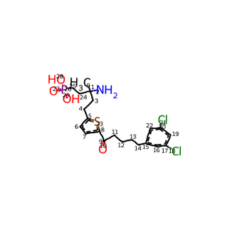 CC(N)(CCc1ccc(C(=O)CCCCc2cc(Cl)cc(Cl)c2)s1)CCP(=O)(O)O